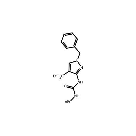 CCCNC(=O)Nc1nn(Cc2ccccc2)cc1C(=O)OCC